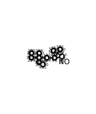 O=NC1C=CC=C2C1c1ccc(-c3ccc(-c4c5ccccc5c(-c5cccc6ccccc56)c5ccc6c(c45)C=CCC6)cc3)cc1C2(c1ccccc1)c1ccccc1